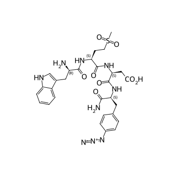 CS(=O)(=O)CC[C@H](NC(=O)[C@H](N)Cc1c[nH]c2ccccc12)C(=O)N[C@@H](CC(=O)O)C(=O)N[C@@H](Cc1ccc(N=[N+]=[N-])cc1)C(N)=O